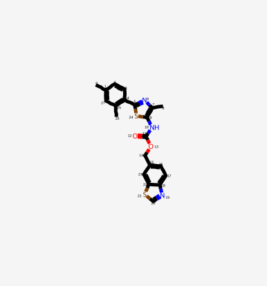 Cc1ccc(-c2nc(C)c(NC(=O)OCc3ccc4ncsc4c3)s2)c(C)c1